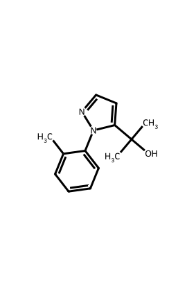 Cc1ccccc1-n1nccc1C(C)(C)O